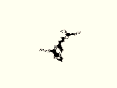 CSc1nc(CCCOC(=O)C(C)(C)C)cn2ccnc12